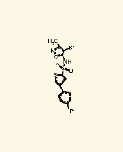 Cc1noc(NS(=O)(=O)c2cc(-c3ccc(C(C)C)cc3)cs2)c1Br